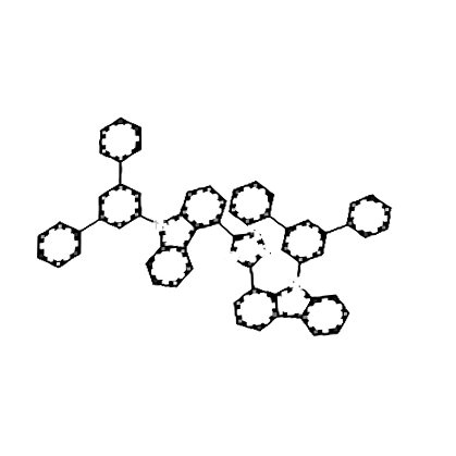 c1ccc(-c2cc(-c3ccccc3)cc(-n3c4ccccc4c4c(-c5nnc(-c6cccc7c8ccccc8n(-c8cc(-c9ccccc9)cc(-c9ccccc9)c8)c67)o5)cccc43)c2)cc1